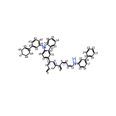 C=C/C=C(\C=C(/C)C(=C)/C=C\C=C/Nc1cccc(-c2ccccc2)c1)c1ccc2c(c1)c1ccccc1n2-c1cccc(C2=CCCCC2)c1